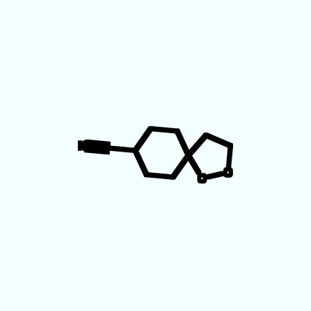 N#CC1CCC2(CCOO2)CC1